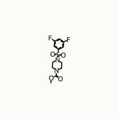 COC(=O)N1CCN(S(=O)(=O)c2cc(F)cc(F)c2)CC1